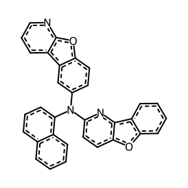 c1ccc2c(N(c3ccc4oc5ncccc5c4c3)c3ccc4oc5ccccc5c4n3)cccc2c1